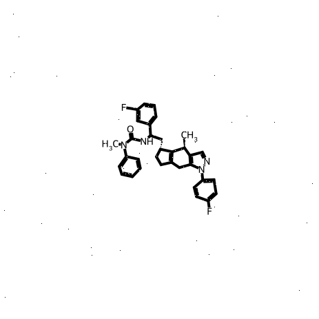 C[C@@H]1C2=C(CC[C@@H]2CC(NC(=O)N(C)c2ccccc2)c2cccc(F)c2)Cc2c1cnn2-c1ccc(F)cc1